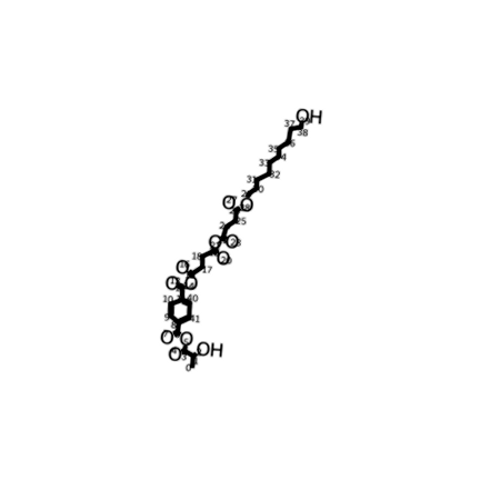 CC(O)C(=O)OC(=O)c1ccc(C(=O)OC(=O)CCC(=O)OC(=O)CCC(=O)OCCCCCCCCCCO)cc1